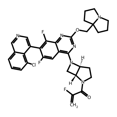 C=C(F)C(=O)N1CC[C@H]2[C@H]1CN2c1nc(OCC23CCCN2CCC3)nc2c(F)c(-c3cncc4cccc(Cl)c34)c(F)cc12